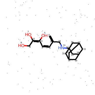 C=C(/C=C\C(O)=C(\O)CO)CNC12CC3CC(CC(C3)C1)C2